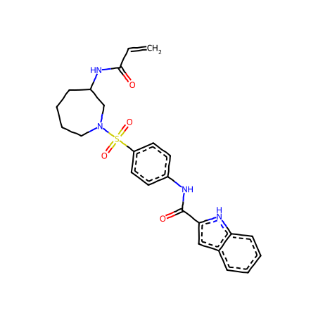 C=CC(=O)NC1CCCCN(S(=O)(=O)c2ccc(NC(=O)c3cc4ccccc4[nH]3)cc2)C1